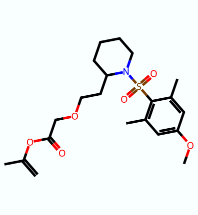 C=C(C)OC(=O)COCCC1CCCCN1S(=O)(=O)c1c(C)cc(OC)cc1C